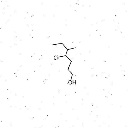 CCC(C)C(Cl)CCCO